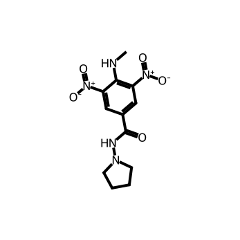 CNc1c([N+](=O)[O-])cc(C(=O)NN2CCCC2)cc1[N+](=O)[O-]